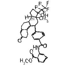 COC(=O)c1ccccc1NC(=O)c1ccc(C2CC3(C)[C@@H](CC[C@@]3(O)C(F)(F)C(F)(F)F)C3CCC4=CC(=O)CCC4=C23)cc1